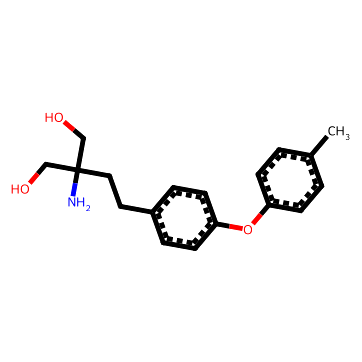 Cc1ccc(Oc2ccc(CCC(N)(CO)CO)cc2)cc1